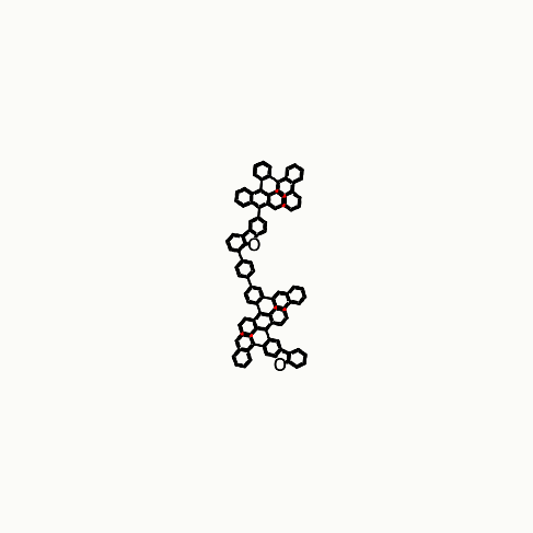 c1ccc(-c2cc3ccccc3c3ccccc23)c(-c2c3ccccc3c(-c3ccc4oc5c(-c6ccc(-c7ccc(-c8c9ccccc9c(-c9cc%10c(cc9-c9cccc%11ccccc9%11)oc9ccccc9%10)c9ccccc89)c(-c8ccc9ccccc9c8)c7)cc6)cccc5c4c3)c3ccccc23)c1